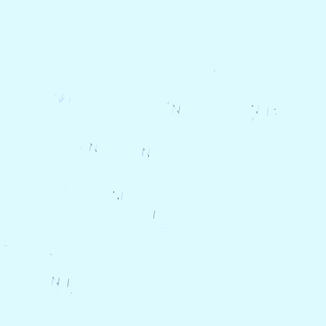 CCCc1cc(N2CCC(NC(C)=O)C2)nc(Nc2ccc(F)c(N)c2)n1.Cl